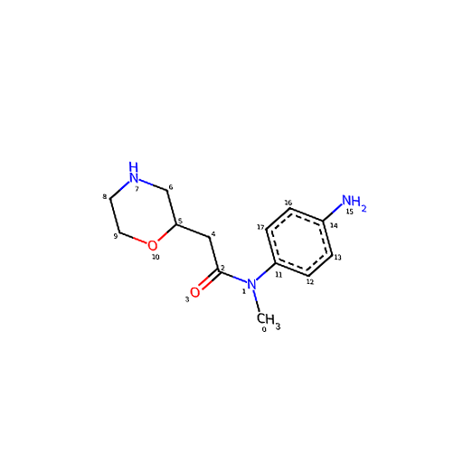 CN(C(=O)CC1CNCCO1)c1ccc(N)cc1